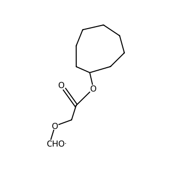 O=[C]OCC(=O)OC1CCCCCCC1